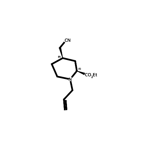 C=CCN1CC[C@@H](CC#N)C[C@H]1C(=O)OCC